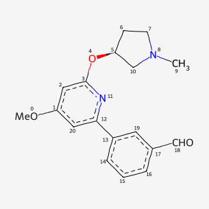 COc1cc(O[C@H]2CCN(C)C2)nc(-c2cccc(C=O)c2)c1